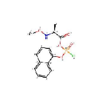 CCCON[C@@H](C)C(=O)OP(=O)(Cl)Oc1cccc2ccccc12